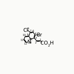 O=C(O)/C=C/c1c(Br)cc(Cl)c2cccnc12